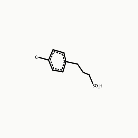 O=S(=O)(O)CCCc1ccc(Cl)cc1